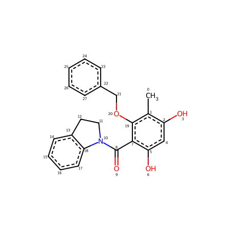 Cc1c(O)cc(O)c(C(=O)N2CCc3ccccc32)c1OCc1ccccc1